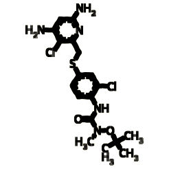 CN(OC(C)(C)C)C(=O)Nc1ccc(SCc2nc(N)cc(N)c2Cl)cc1Cl